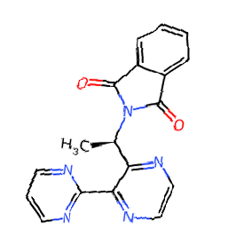 C[C@H](c1nccnc1-c1ncccn1)N1C(=O)c2ccccc2C1=O